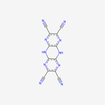 N#Cc1nc2c(nc1C#N)Nc1nc(C#N)c(C#N)nc1N2